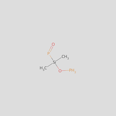 C[Si](C)(OP)P=O